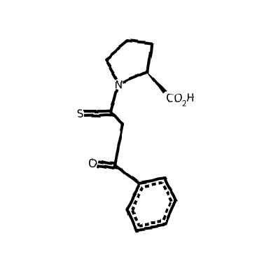 O=C(CC(=S)N1CCC[C@H]1C(=O)O)c1ccccc1